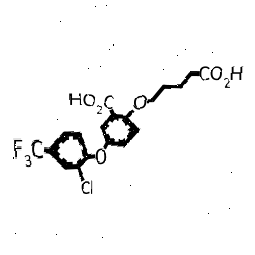 O=C(O)CCCCOc1ccc(Oc2ccc(C(F)(F)F)cc2Cl)cc1C(=O)O